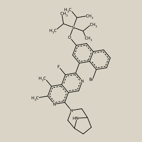 Cc1nc(N2CC3CCC(C2)N3)c2cnc(-c3cc(O[Si](C(C)C)(C(C)C)C(C)C)cc4cccc(Br)c34)c(F)c2c1C